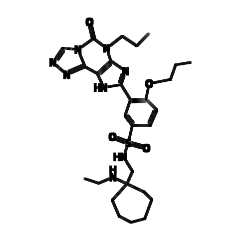 CCCOc1ccc(S(=O)(=O)NCC2(NCC)CCCCCC2)cc1-c1nc2c([nH]1)c1nncn1c(=O)n2CCC